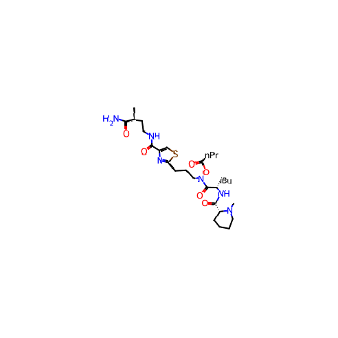 CCCC(=O)ON(CCCc1nc(C(=O)NCC[C@H](C)C(N)=O)cs1)C(=O)[C@@H](NC(=O)[C@H]1CCCCN1C)C(C)CC